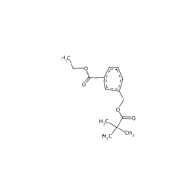 CCOC(=O)c1cccc(COC(=O)C(C)(C)C)c1